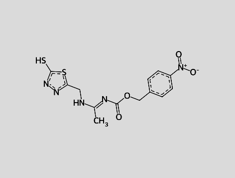 C/C(=N\C(=O)OCc1ccc([N+](=O)[O-])cc1)NCc1nnc(S)s1